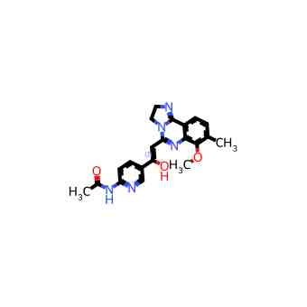 COc1c(C)ccc2c1N=C(/C=C(\O)c1ccc(NC(C)=O)nc1)N1CCN=C21